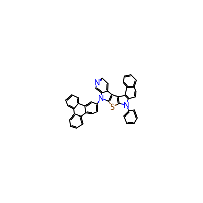 c1ccc(-n2c3ccc4ccccc4c3c3c4c5ccncc5n(-c5ccc6c7ccccc7c7ccccc7c6c5)c4sc32)cc1